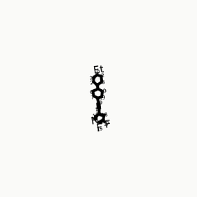 CCC1CCC(C2CCC(C#Cc3cnc(F)c(F)c3)CC2)CC1